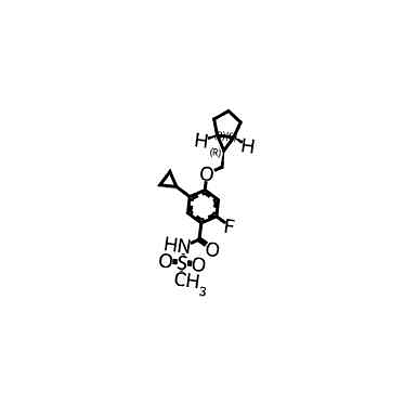 CS(=O)(=O)NC(=O)c1cc(C2CC2)c(OC[C@H]2[C@@H]3CCC[C@@H]32)cc1F